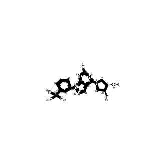 O[C@H]1CN(c2nc(Cl)nc3c2cnn3-c2cccc(C(F)(F)F)c2)C[C@@H]1F